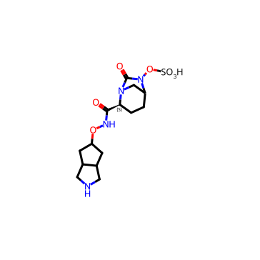 O=C(NOC1CC2CNCC2C1)[C@@H]1CCC2CN1C(=O)N2OS(=O)(=O)O